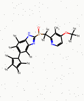 [2H]C1=C([2H])C(c2c([2H])c([2H])c3[nH]c([S+]([O-])C([2H])([2H])c4nccc(OC([2H])([2H])[2H])c4C)nc3c2[2H])C([2H])=C1[2H]